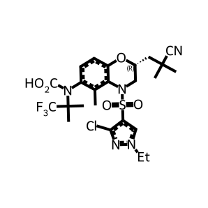 CCn1cc(S(=O)(=O)N2C[C@@H](CC(C)(C)C#N)Oc3ccc(N(C(=O)O)C(C)(C)C(F)(F)F)c(C)c32)c(Cl)n1